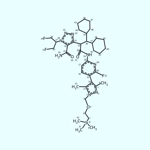 Cc1nn(COCC[Si](C)(C)C)c(C)c1-c1ccc(NC(=O)C(c2nnn(C(CF)CF)c2C(N)=O)C(C2CCCCC2)C2CCCCC2)nc1F